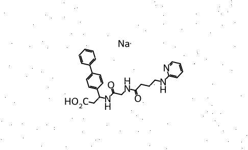 O=C(O)CC(NC(=O)CNC(=O)CCCNc1ccccn1)c1ccc(-c2ccccc2)cc1.[Na]